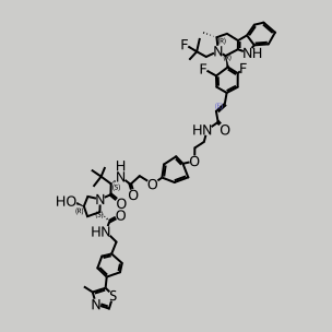 Cc1ncsc1-c1ccc(CNC(=O)[C@@H]2C[C@@H](O)CN2C(=O)[C@@H](NC(=O)COc2ccc(OCCNC(=O)/C=C/c3cc(F)c([C@@H]4c5[nH]c6ccccc6c5C[C@@H](C)N4CC(C)(C)F)c(F)c3)cc2)C(C)(C)C)cc1